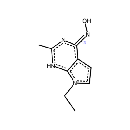 CCn1ccc2/c(=N/O)nc(C)[nH]c21